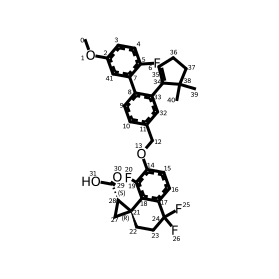 COc1ccc(F)c(-c2ccc(COc3ccc4c(c3F)[C@]3(CCC4(F)F)C[C@@H]3C(=O)O)cc2C2=CCCC2(C)C)c1